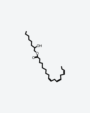 CC/C=C\C/C=C\C/C=C\CCCCCCCC(=O)OCC(O)CCCCCC